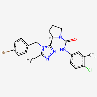 Cc1nnc([C@H]2CCCN2C(=O)Nc2ccc(Cl)c(C(F)(F)F)c2)n1Cc1ccc(Br)cc1